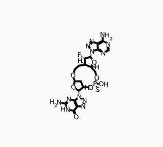 Nc1nc2c(nnn2[C@@H]2OC3C[C@H]2OP(O)(=S)OC[C@H]2O[C@@H](n4nnc5c(N)ncnc54)[C@@H](F)[C@@H]2CCO3)c(=O)[nH]1